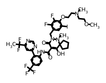 COCCN(C)CCOc1c(I)cc(CN2C(=O)C(C(=O)Nc3ccc(C(F)(F)F)cc3-c3cc(C(C)(F)F)ncn3)=C(O)C3(CCCC3)N2C)c(F)c1F